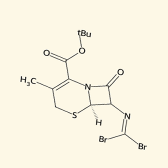 CC1=C(C(=O)OC(C)(C)C)N2C(=O)C(N=C(Br)Br)[C@H]2SC1